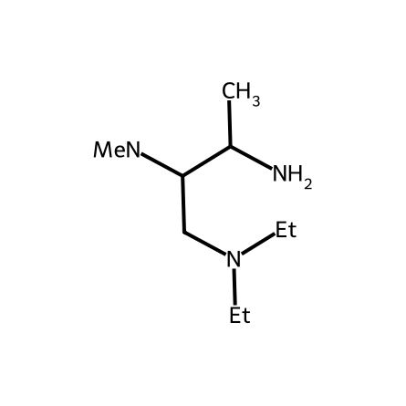 CCN(CC)CC(NC)C(C)N